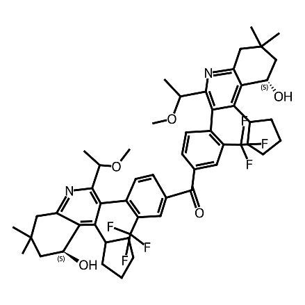 COC(C)c1nc2c(c(C3CCCC3)c1-c1ccc(C(=O)c3ccc(-c4c(C(C)OC)nc5c(c4C4CCCC4)[C@@H](O)CC(C)(C)C5)c(C(F)(F)F)c3)cc1C(F)(F)F)[C@@H](O)CC(C)(C)C2